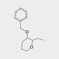 [CH2]CC1OCCCC1OCc1ccccc1